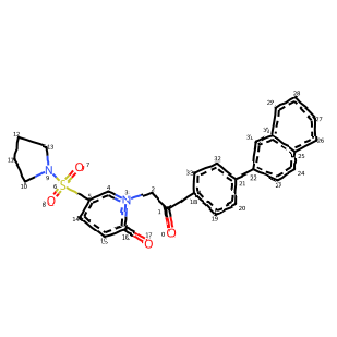 O=C(Cn1cc(S(=O)(=O)N2CCCC2)ccc1=O)c1ccc(-c2ccc3ccccc3c2)cc1